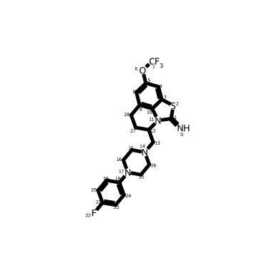 N=c1sc2cc(OC(F)(F)F)cc3c2n1C(CN1CCN(c2ccc(F)cc2)CC1)CC3